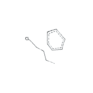 CCCCCl.c1ccccc1